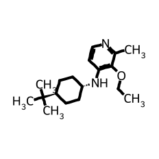 CCOc1c(N[C@H]2CC[C@H](C(C)(C)C)CC2)ccnc1C